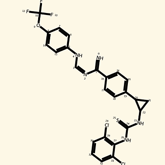 N=C(/N=C\Nc1ccc(OC(F)(F)F)cc1)c1ccc(C2CC2NC(=S)Nc2c(Cl)cccc2Cl)cc1